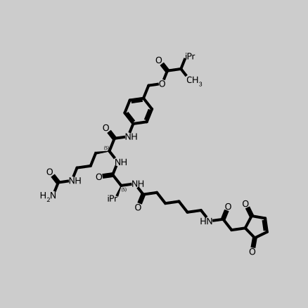 CC(C)C(C)C(=O)OCc1ccc(NC(=O)[C@H](CCCNC(N)=O)NC(=O)[C@@H](NC(=O)CCCCCNC(=O)CC2C(=O)C=CC2=O)C(C)C)cc1